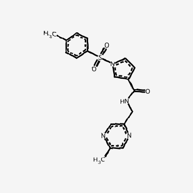 Cc1ccc(S(=O)(=O)n2ccc(C(=O)NCc3cnc(C)cn3)c2)cc1